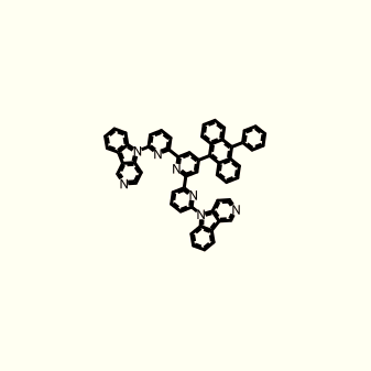 c1ccc(-c2c3ccccc3c(-c3cc(-c4cccc(-n5c6ccccc6c6cnccc65)n4)nc(-c4cccc(-n5c6ccccc6c6cnccc65)n4)c3)c3ccccc23)cc1